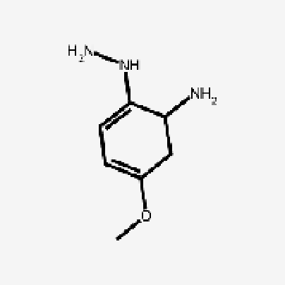 COC1=CC=C(NN)C(N)C1